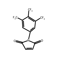 O=C1C=CC(=O)N1c1cc(C(F)(F)F)c(C(F)(F)F)c(C(F)(F)F)c1